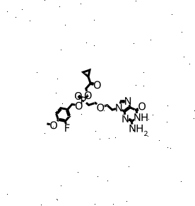 COc1ccc(COP(=O)(CCOCCn2cnc3c(=O)[nH]c(N)nc32)OCC(=O)C2CC2)cc1F